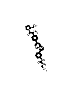 CC(C(=O)N1CCC[C@H]1CO)c1ccc(-c2cnn3c(-c4cccc(NC(=O)NCC(F)(F)F)c4)cnc3c2)cc1